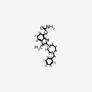 Cn1c(N2CCCN(Cc3ccccc3)CC2)nc2c(OC(N)=O)cccc21